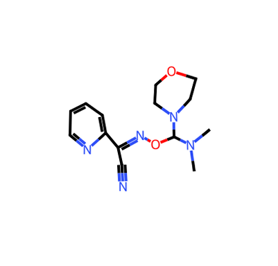 CN(C)C(ON=C(C#N)c1ccccn1)N1CCOCC1